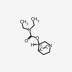 CCN(CC)C(=O)O[C@@H]1CN2CCC1CC2